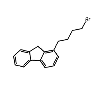 BrCCCCc1cccc2c1[CH]c1ccccc1-2